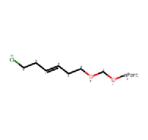 CCCCCOCOCCC=CCCCl